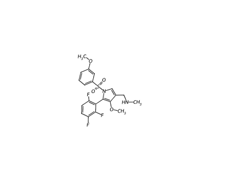 CNCc1cn(S(=O)(=O)c2cccc(OC)c2)c(-c2c(F)ccc(F)c2F)c1OC